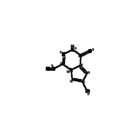 CCc1cc2c(=O)[nH]nc(OC)n2c1